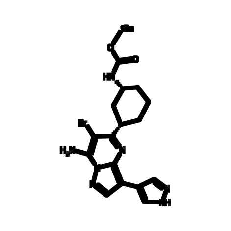 CC(C)(C)OC(=O)N[C@@H]1CCC[C@H](c2nc3c(-c4cn[nH]c4)cnn3c(N)c2Br)C1